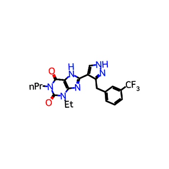 CCCn1c(=O)c2[nH]c(-c3c[nH]nc3Cc3cccc(C(F)(F)F)c3)nc2n(CC)c1=O